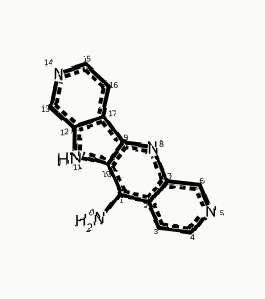 Nc1c2ccncc2nc2c1[nH]c1cnccc12